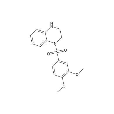 COc1ccc(S(=O)(=O)N2CCNc3ccccc32)cc1OC